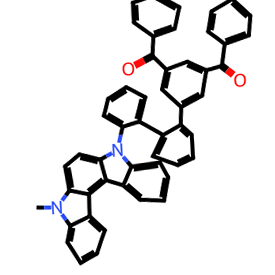 Cn1c2ccccc2c2c3c4ccccc4n(-c4ccccc4-c4ccccc4-c4cc(C(=O)c5ccccc5)cc(C(=O)c5ccccc5)c4)c3ccc21